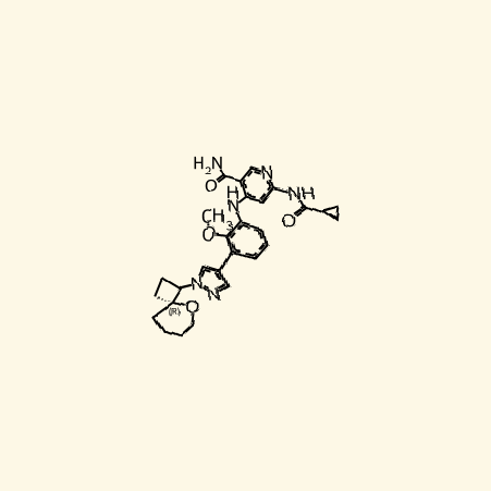 COc1c(Nc2cc(NC(=O)C3CC3)ncc2C(N)=O)cccc1-c1cnn(C2CC[C@]23CCCCO3)c1